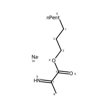 CCCCCCCCOC(=O)C(C)=N.[Na]